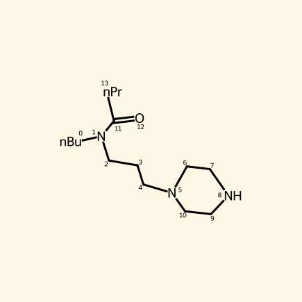 CCCCN(CCCN1CCNCC1)C(=O)CCC